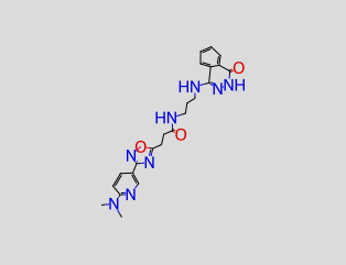 CN(C)c1ccc(-c2noc(CCC(=O)NCCCNc3n[nH]c(=O)c4ccccc34)n2)cn1